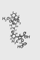 CCc1cccc(CC)c1NC(=O)N1CCC(COc2cccc(-c3sc(C(=O)O)c(OCC(=O)O)c3C)c2)CC1